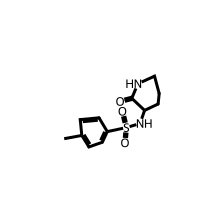 Cc1ccc(S(=O)(=O)NC2CCCNC2=O)cc1